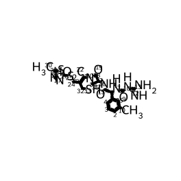 Cc1cccc(C(NC(=O)NC(=N)N)C(=O)NC2C(=O)N3C(C(=O)O)=C(CSc4nnc(C)s4)CS[C@@H]23)c1